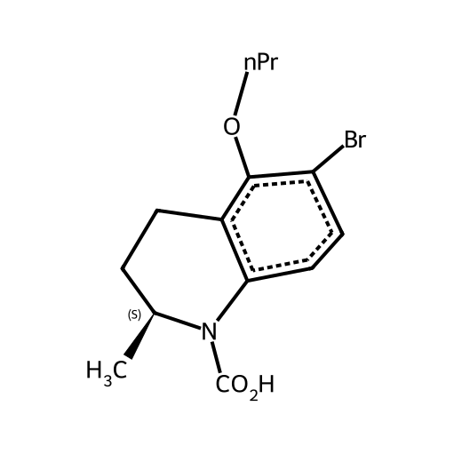 CCCOc1c(Br)ccc2c1CC[C@H](C)N2C(=O)O